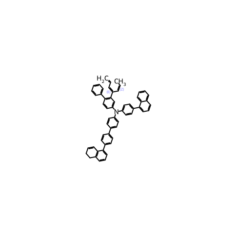 C=C/C=C(\C=C/C)c1cc(N(c2ccc(-c3ccc(-c4cccc5c4C=CCC5)cc3)cc2)c2ccc(-c3cccc4ccccc34)cc2)ccc1-c1ccccc1